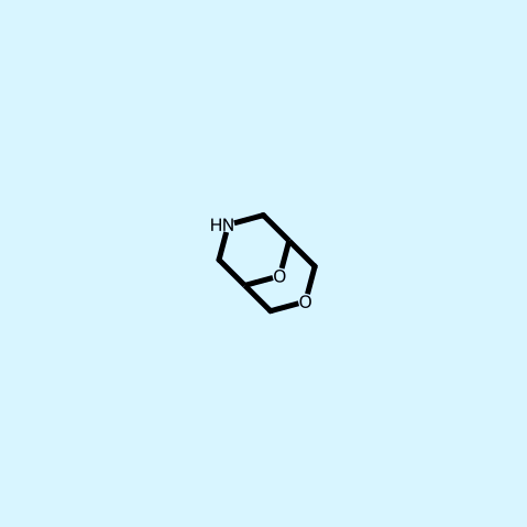 C1NCC2COCC1O2